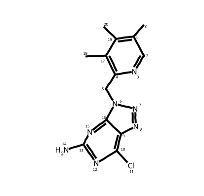 Cc1cnc(Cn2nnc3c(Cl)nc(N)nc32)c(C)c1C